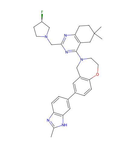 Cc1nc2ccc(-c3ccc4c(c3)CN(c3nc(CN5CC[C@@H](F)C5)nc5c3CC(C)(C)CC5)CCO4)cc2[nH]1